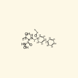 CCOC1(CN[C@H](C(=O)NO)[C@@H](C)O)C=CC(c2ccccc2)=CC1